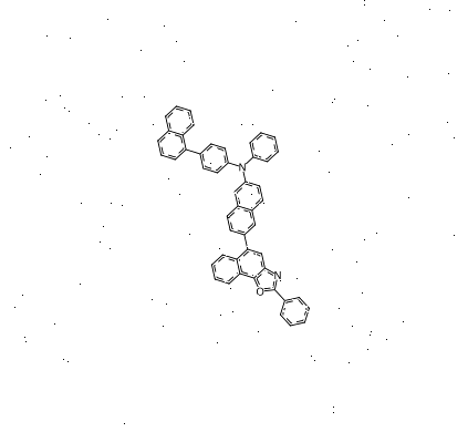 c1ccc(-c2nc3cc(-c4ccc5cc(N(c6ccccc6)c6ccc(-c7cccc8ccccc78)cc6)ccc5c4)c4ccccc4c3o2)cc1